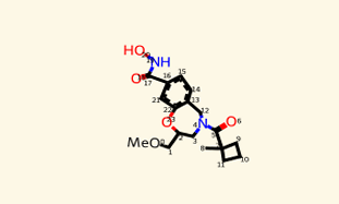 COCC1CN(C(=O)C2(C)CCC2)Cc2ccc(C(=O)NO)cc2O1